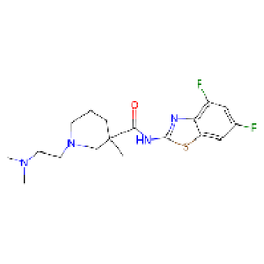 CN(C)CCN1CCCC(C)(C(=O)Nc2nc3c(F)cc(F)cc3s2)C1